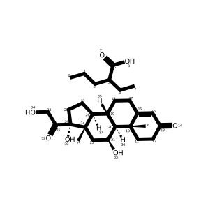 CCCC(CC)C(=O)O.C[C@]12CCC(=O)C=C1CC[C@@H]1[C@@H]2[C@@H](O)C[C@@]2(C)[C@H]1CC[C@]2(O)C(=O)CO